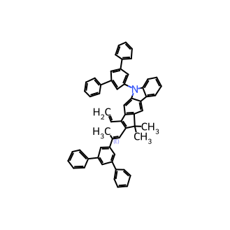 C=CC1=C(/C=C(\C)c2cc(-c3ccccc3)cc(-c3ccccc3)c2)C(C)(C)c2cc3c4ccccc4n(-c4cc(-c5ccccc5)cc(-c5ccccc5)c4)c3cc21